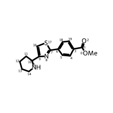 COC(=O)c1ccc(-c2nc(C3CCCCN3)cs2)cc1